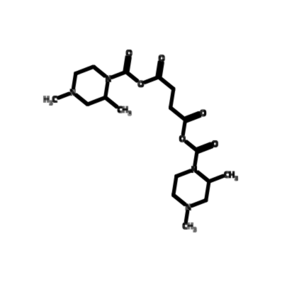 CC1CN(C)CCN1C(=O)OC(=O)CCC(=O)OC(=O)N1CCN(C)CC1C